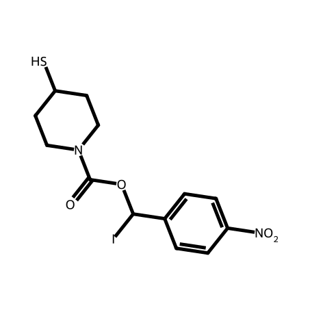 O=C(OC(I)c1ccc([N+](=O)[O-])cc1)N1CCC(S)CC1